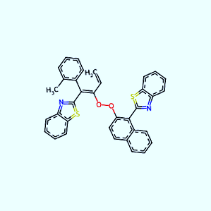 C=C/C(OOc1ccc2ccccc2c1-c1nc2ccccc2s1)=C(/c1nc2ccccc2s1)c1ccccc1C